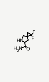 NC(=O)C1CC2(CN1)CC2(F)F